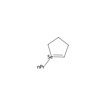 CCC[Se]1=CCCC1